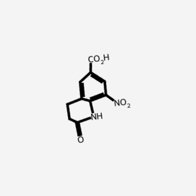 O=C1CCc2cc(C(=O)O)cc([N+](=O)[O-])c2N1